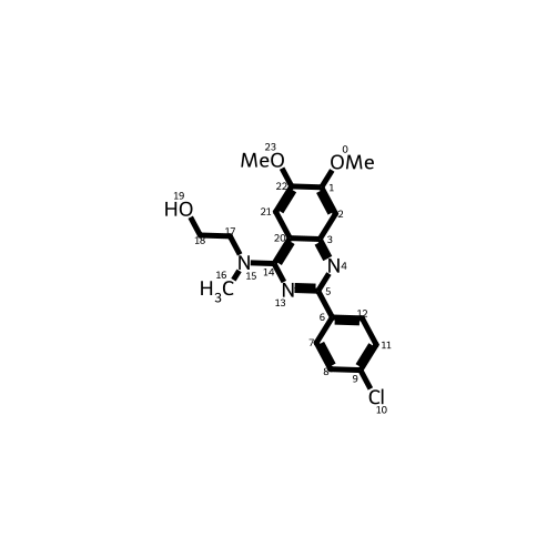 COc1cc2nc(-c3ccc(Cl)cc3)nc(N(C)CCO)c2cc1OC